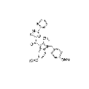 COc1ccc(Cn2c(C)c(C(=O)c3nnc(-c4ccccn4)o3)c3cc(OC)ccc32)cc1